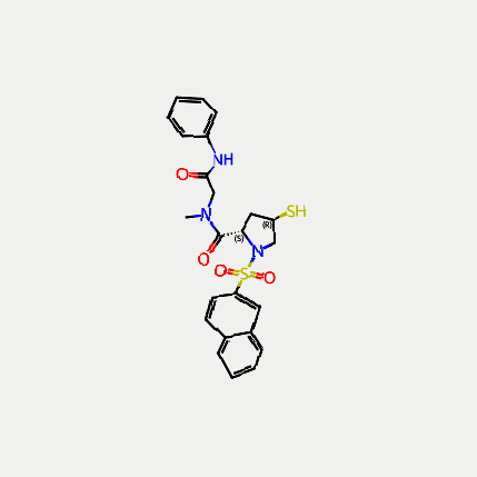 CN(CC(=O)Nc1ccccc1)C(=O)[C@@H]1C[C@@H](S)CN1S(=O)(=O)c1ccc2ccccc2c1